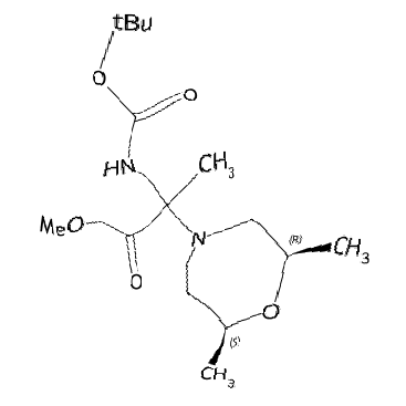 COC(=O)C(C)(NC(=O)OC(C)(C)C)N1C[C@@H](C)O[C@@H](C)C1